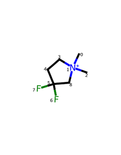 C[N+]1(C)CCC(F)(F)C1